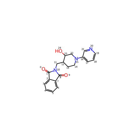 O=C1c2ccccc2C(=O)N1CC1CCN(c2cccnc2)CC1O